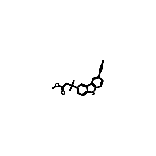 CC#Cc1ccc2sc3ccc(C(C)(C)CC(=O)OC)cc3c2c1